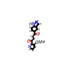 COc1cccnc1C(=O)CCC(=O)c1ccc2[nH]ncc2c1